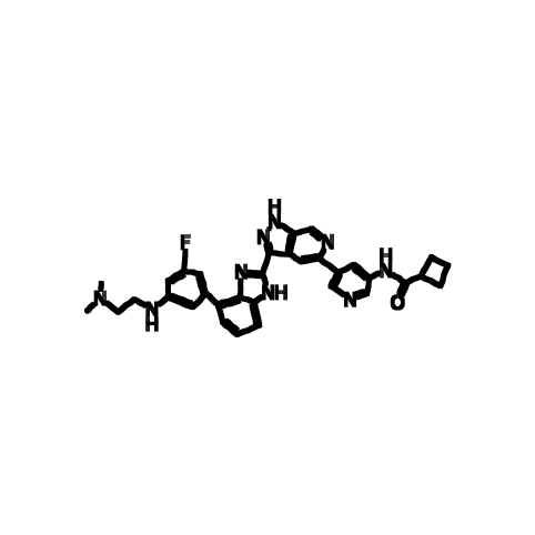 CN(C)CCNc1cc(F)cc(-c2cccc3[nH]c(-c4n[nH]c5cnc(-c6cncc(NC(=O)C7CCC7)c6)cc45)nc23)c1